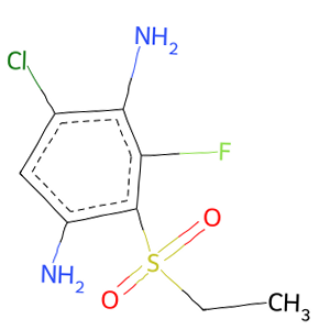 CCS(=O)(=O)c1c(N)cc(Cl)c(N)c1F